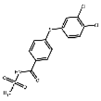 CS(=O)(=O)NC(=O)c1ccc(Sc2ccc(Cl)c(Cl)c2)cc1